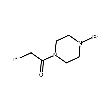 CC(C)CC(=O)N1CCN(C(C)C)CC1